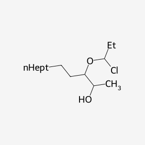 CCCCCCCCCC(OC(Cl)CC)C(C)O